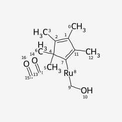 CC1=C(C)C(C)(C)[C]([Ru][CH2]O)=C1C.[C]=O.[C]=O